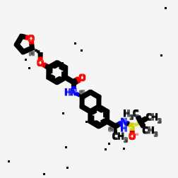 C[C@H](N[S+]([O-])C(C)(C)C)c1ccc2c(c1)CC[C@H](NC(=O)c1ccc(OC[C@@H]3CCCO3)cc1)C2